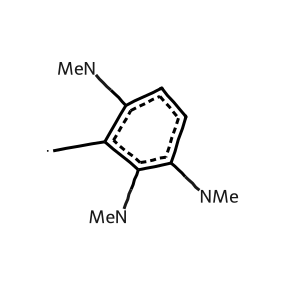 [CH2]c1c(NC)ccc(NC)c1NC